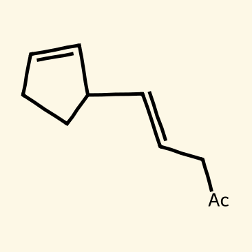 CC(=O)CC=CC1C=CCC1